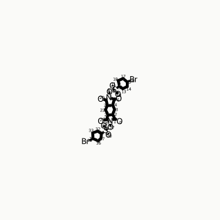 O=c1c2cc3c(=O)n(OS(=O)(=O)c4ccc(Br)cc4)c(=O)c3cc2c(=O)n1OS(=O)(=O)c1ccc(Br)cc1